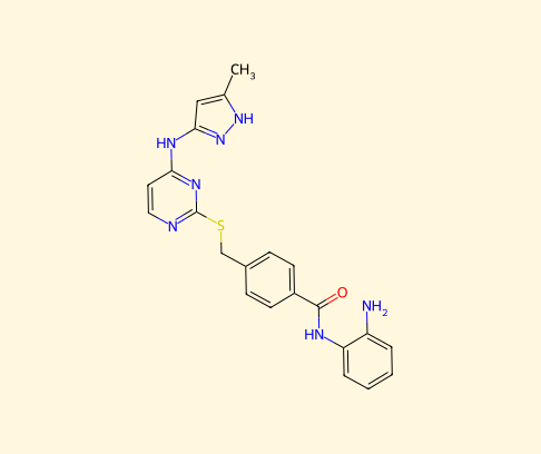 Cc1cc(Nc2ccnc(SCc3ccc(C(=O)Nc4ccccc4N)cc3)n2)n[nH]1